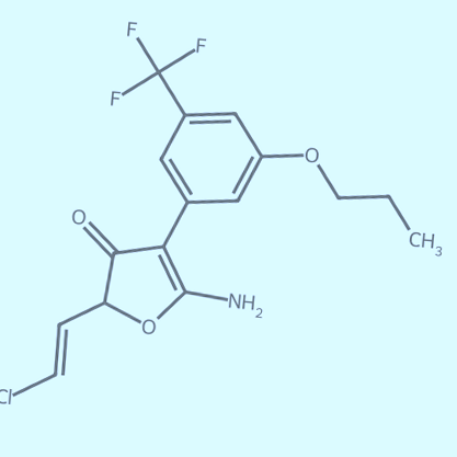 CCCOc1cc(C2=C(N)OC(/C=C/Cl)C2=O)cc(C(F)(F)F)c1